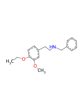 CCOc1ccc(CCNCc2ccccc2)cc1OC